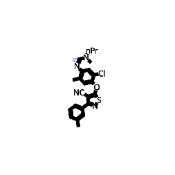 CCCN(C)/C=N\c1cc(Cl)c(Oc2snc(-c3cccc(C)c3)c2C#N)cc1C